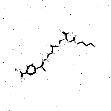 CCCCOC(=O)N[C@@H](CNC(=O)CCON=C(C)c1ccc(C(=N)N)cc1)C(=O)O